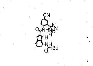 CCC(C)C(=O)Nc1cccc2cc(C(=O)Nc3ccc(C#N)cc3-c3nnn[nH]3)[nH]c12